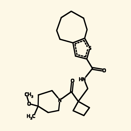 COC1(C)CCN(C(=O)C2(CNC(=O)c3cc4c(s3)CCCCCC4)CCC2)CC1